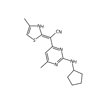 CC1=CSC(=C(C#N)c2cc(C)nc(NC3CCCC3)n2)N1